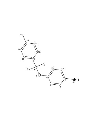 CCC(C)c1ccc(OC(C)(C)c2ccc(C)cc2)cc1